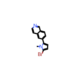 Cn1c(Br)ccc1-c1ccc2cnccc2c1